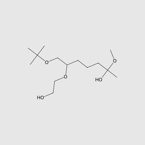 COC(C)(O)CCCC(COC(C)(C)C)OCCO